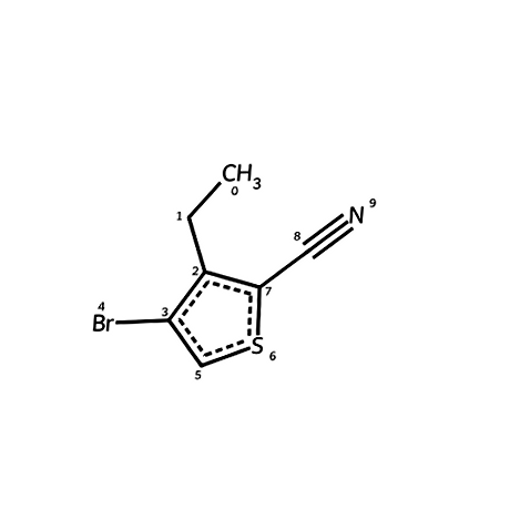 CCc1c(Br)csc1C#N